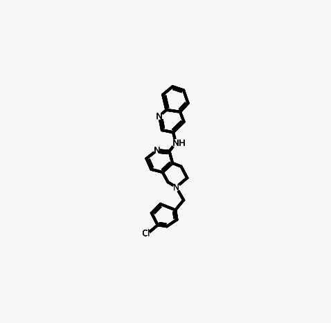 Clc1ccc(CN2CCc3c(ccnc3Nc3cnc4ccccc4c3)C2)cc1